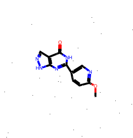 COc1ccc(-c2nc3[nH]ncc3c(=O)[nH]2)cn1